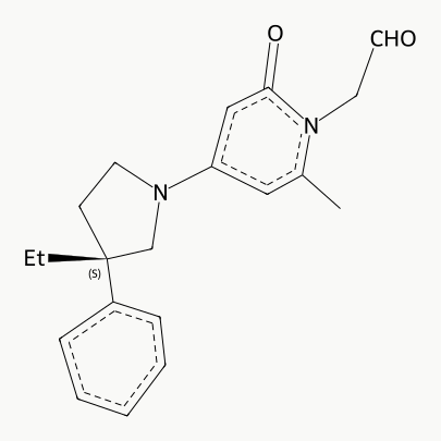 CC[C@@]1(c2ccccc2)CCN(c2cc(C)n(CC=O)c(=O)c2)C1